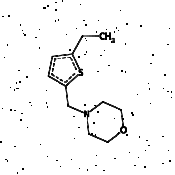 CCc1ccc(CN2CCOCC2)s1